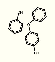 Oc1ccc(Oc2ccccc2)cc1.Oc1ccccc1